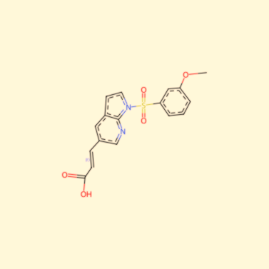 COc1cccc(S(=O)(=O)n2ccc3cc(/C=C/C(=O)O)cnc32)c1